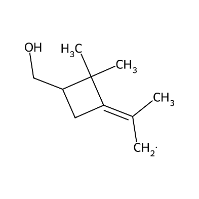 [CH2]C(C)=C1CC(CO)C1(C)C